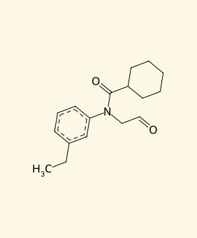 CCc1cccc(N(CC=O)C(=O)C2CCCCC2)c1